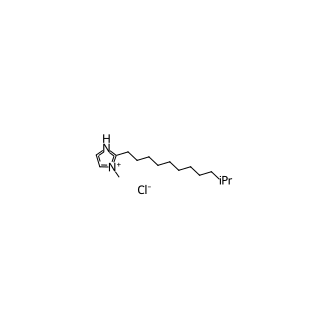 CC(C)CCCCCCCCCc1[nH]cc[n+]1C.[Cl-]